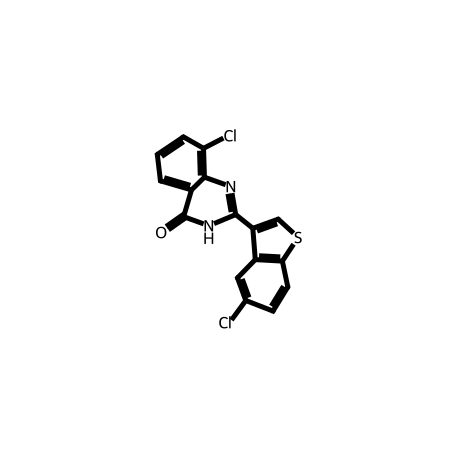 O=c1[nH]c(-c2csc3ccc(Cl)cc23)nc2c(Cl)cccc12